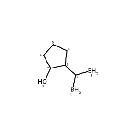 BC(B)C1CCCC1O